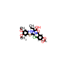 CCCC1(C(=O)O)NC(Sc2ccc(OC)c(OC)c2)=CN1Cc1cc2c(cc1Cl)OCO2